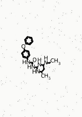 CCNC1CC(C)NC(NC(=O)Nc2ccc(Oc3ccccc3)cc2)N1